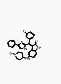 CCN1CCC(Nc2ccc3c(c2)C(=C(c2cccc(F)c2)c2nc(-c4ccccc4)c[nH]2)C(=O)N3)CC1